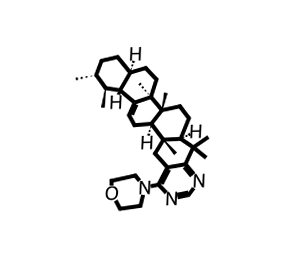 C[C@@H]1[C@H]2C3=CC[C@@H]4[C@@]5(C)Cc6c(N7CCOCC7)ncnc6C(C)(C)[C@@H]5CC[C@@]4(C)[C@]3(C)CC[C@@H]2CC[C@H]1C